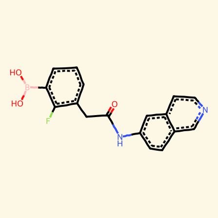 O=C(Cc1cccc(B(O)O)c1F)Nc1ccc2cnccc2c1